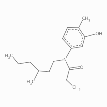 CCCC(C)CCN(C(=O)CC)c1ccc(C)c(O)c1